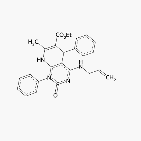 C=CCNc1nc(=O)n(-c2ccccc2)c2c1C(c1ccccc1)C(C(=O)OCC)=C(C)N2